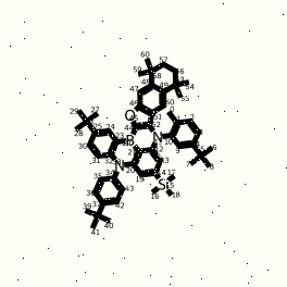 Cc1ccc(C(C)(C)C)cc1N1c2cc([Si](C)(C)C)cc3c2B(c2cc(C(C)(C)C)ccc2N3c2ccc(C(C)(C)C)cc2)c2oc3cc4c(cc3c21)C(C)(C)CCC4(C)C